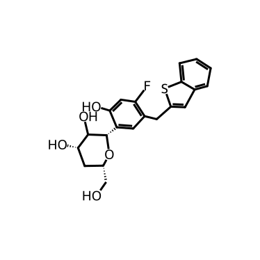 OC[C@@H]1C[C@H](O)C(O)[C@H](c2cc(Cc3cc4ccccc4s3)c(F)cc2O)O1